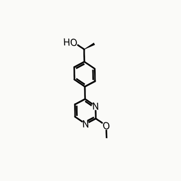 COc1nccc(-c2ccc([C@H](C)O)cc2)n1